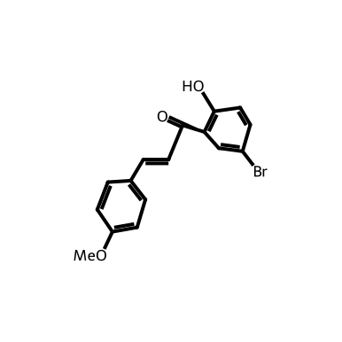 COc1ccc(C=CC(=O)c2cc(Br)ccc2O)cc1